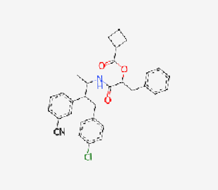 CC(NC(=O)C(Cc1ccccc1)OC(=O)C1CCC1)C(Cc1ccc(Cl)cc1)c1cccc(C#N)c1